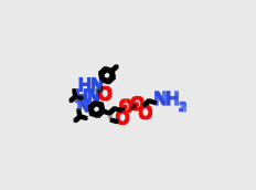 CC[C@@H](CC(=O)OCOC(=O)CCN)c1ccc(N(CC(C)C)CC(C)C)c(NC(=O)Nc2ccc(C)cc2)c1